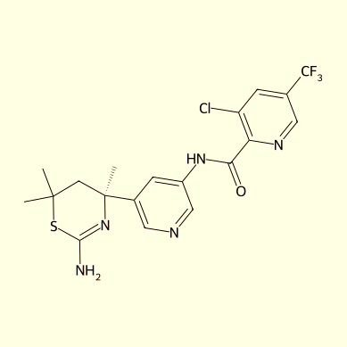 CC1(C)C[C@@](C)(c2cncc(NC(=O)c3ncc(C(F)(F)F)cc3Cl)c2)N=C(N)S1